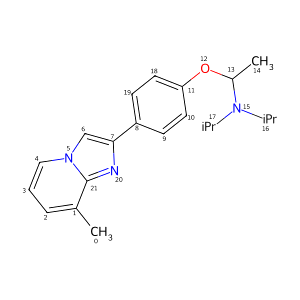 Cc1cccn2cc(-c3ccc(OC(C)N(C(C)C)C(C)C)cc3)nc12